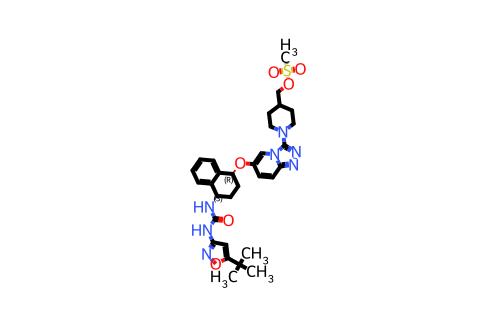 CC(C)(C)c1cc(NC(=O)N[C@H]2CC[C@@H](Oc3ccc4nnc(N5CCC(COS(C)(=O)=O)CC5)n4c3)c3ccccc32)no1